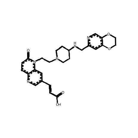 O=C(O)C=Cc1cnc2ccc(=O)n(CCN3CCC(NCc4cc5c(cn4)OCCO5)CC3)c2c1